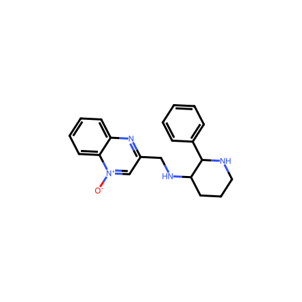 [O-][n+]1cc(CNC2CCCNC2c2ccccc2)nc2ccccc21